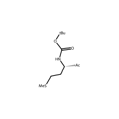 CSCC[C@H](NC(=O)OC(C)(C)C)C(C)=O